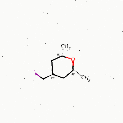 C[C@@H]1C[C@@H](CI)C[C@H](C)O1